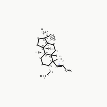 CC(=O)O/C=C/[C@]1(C)[C@H](CC(=O)O)CC[C@@H]2[C@@H]1CC[C@@]1(C)[C@H]2CC[C@]1(C)OC(C)=O